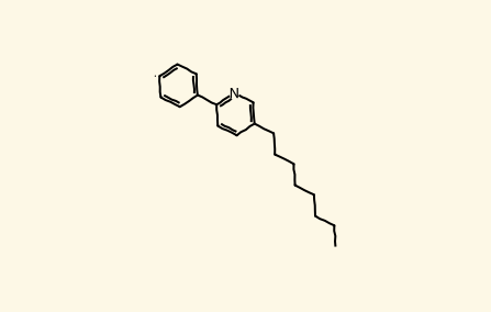 CCCCCCCCc1ccc(-c2cc[c]cc2)nc1